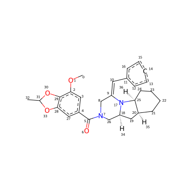 COc1cc(C(=O)N2C/C(=C/c3ccccc3)N3[C@@H](C[C@@H]4CCCC[C@@H]43)C2)cc2c1OC(C)O2